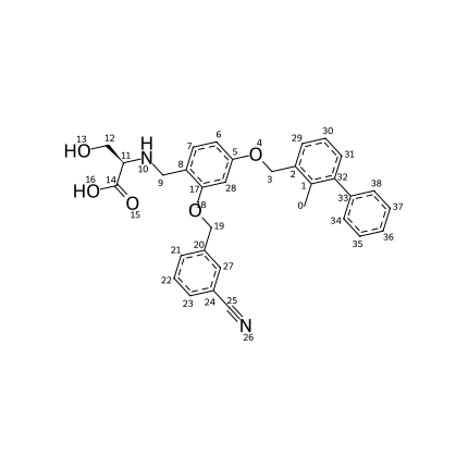 Cc1c(COc2ccc(CN[C@H](CO)C(=O)O)c(OCc3cccc(C#N)c3)c2)cccc1-c1ccccc1